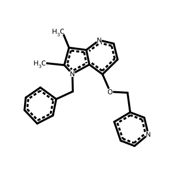 Cc1c(C)n(Cc2ccccc2)c2c(OCc3cccnc3)ccnc12